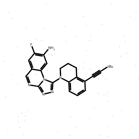 CC(C)(C)C#Cc1cccc2c1CCCN2c1nnc2ncc3cc(F)c(N)cc3n12